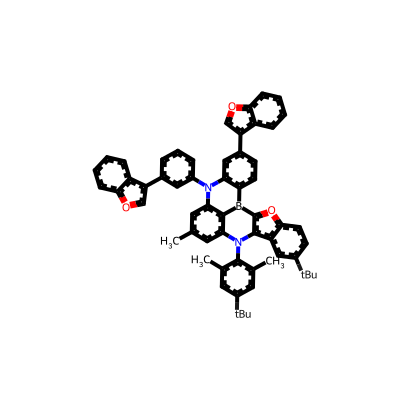 Cc1cc2c3c(c1)N(c1c(C)cc(C(C)(C)C)cc1C)c1c(oc4ccc(C(C)(C)C)cc14)B3c1ccc(-c3coc4ccccc34)cc1N2c1cccc(-c2coc3ccccc23)c1